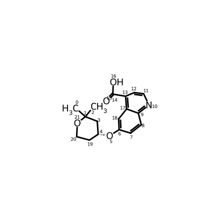 CC1(C)C[C@H](Oc2ccc3nccc(C(=O)O)c3c2)CCO1